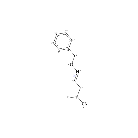 CC(C#N)C/C=N/OCc1ccccc1